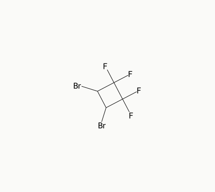 FC1(F)C(Br)C(Br)C1(F)F